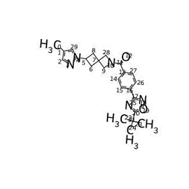 Cc1cnn(C2CC3(C2)CN(C(=O)c2ccc(-c4noc(C(C)(C)C)n4)cc2)C3)c1